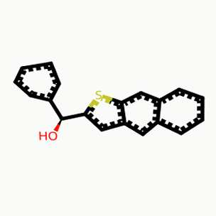 O[C@@H](c1ccccc1)c1cc2cc3ccccc3cc2s1